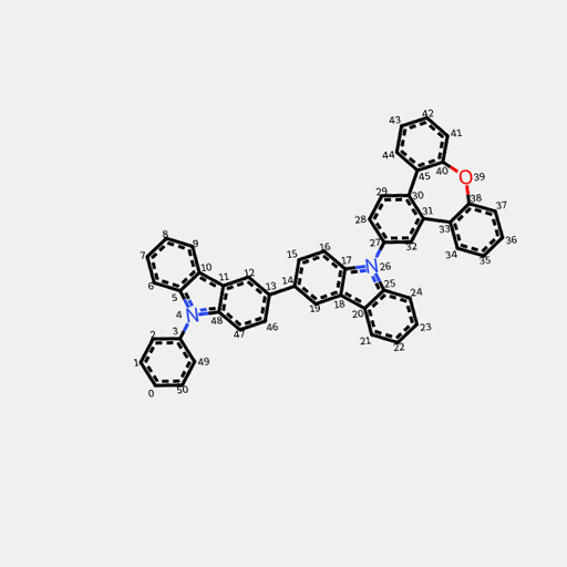 c1ccc(-n2c3ccccc3c3cc(-c4ccc5c(c4)c4ccccc4n5-c4ccc5c(c4)-c4ccccc4Oc4ccccc4-5)ccc32)cc1